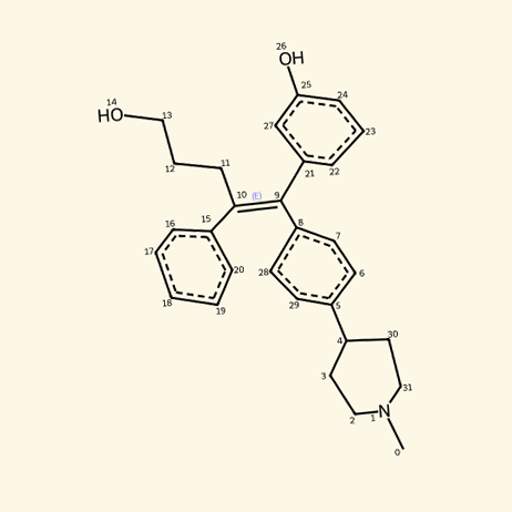 CN1CCC(c2ccc(/C(=C(/CCCO)c3ccccc3)c3cccc(O)c3)cc2)CC1